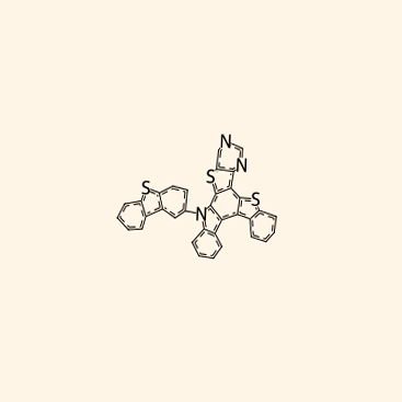 c1ccc2c(c1)sc1ccc(-n3c4ccccc4c4c5c6ccccc6sc5c5c6ncncc6sc5c43)cc12